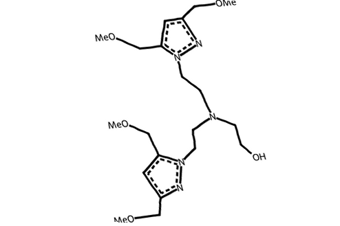 COCc1cc(COC)n(CCN(CCO)CCn2nc(COC)cc2COC)n1